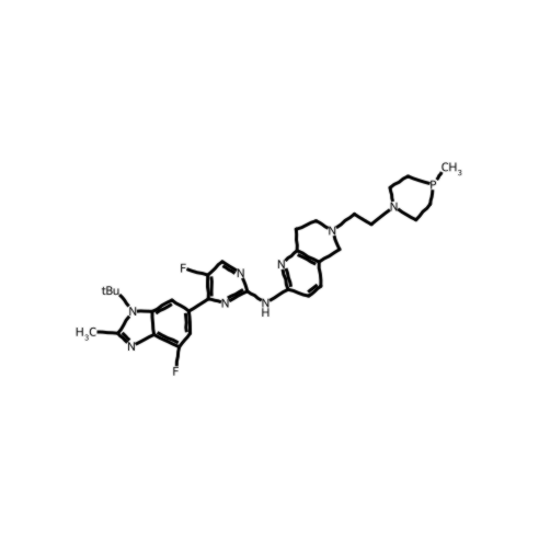 Cc1nc2c(F)cc(-c3nc(Nc4ccc5c(n4)CCN(CCN4CCP(C)CC4)C5)ncc3F)cc2n1C(C)(C)C